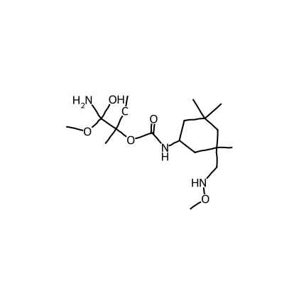 CCC(C)(OC(=O)NC1CC(C)(C)CC(C)(CNOC)C1)C(N)(O)OC